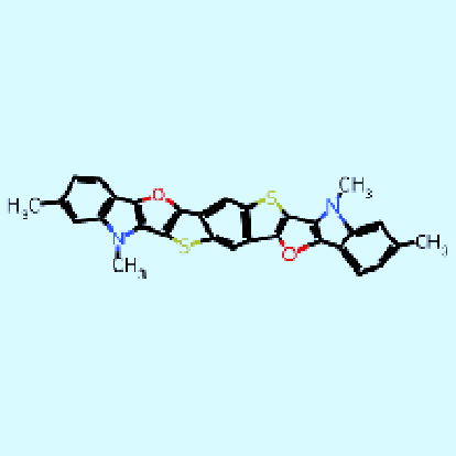 Cc1ccc2c3oc4c5cc6sc7c(oc8c9ccc(C)cc9n(C)c87)c6cc5sc4c3n(C)c2c1